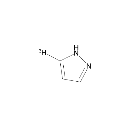 [3H]c1ccn[nH]1